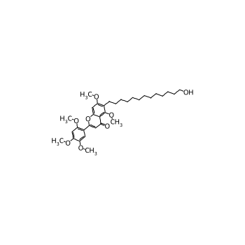 COc1cc(OC)c(-c2cc(=O)c3c(OC)c(CCCCCCCCCCCCCO)c(OC)cc3o2)cc1OC